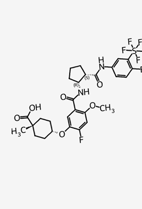 COc1cc(F)c(O[C@H]2CC[C@@](C)(C(=O)O)CC2)cc1C(=O)N[C@@H]1CCC[C@@H]1C(=O)Nc1ccc(F)c(S(F)(F)(F)(F)F)c1